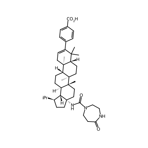 CC(C)[C@@H]1CC[C@]2(NC(=O)N3CCNC(=O)CC3)CC[C@]3(C)[C@H](CC[C@@H]4[C@@]5(C)CC=C(c6ccc(C(=O)O)cc6)C(C)(C)[C@@H]5CC[C@]43C)[C@@H]12